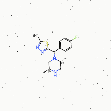 CC(C)c1nnc(C(c2ccc(F)cc2)N2C[C@H](C)NC[C@H]2C)s1